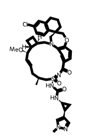 CO[C@H]1/C=C/C[C@H](C)C[S@@](=O)(NC(=O)N[C@@H]2C[C@H]2c2cnn(C)c2)=NC(=O)c2ccc3c(c2)N(C[C@@H]2CC[C@H]21)C[C@@]1(CCCc2cc(Cl)ccc21)CO3